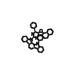 c1ccc(-c2nc(-n3c4ccccc4c4ccc5c6ccccc6n(-c6ccccc6)c5c43)nc3c2oc2c4ccccc4ccc32)cc1